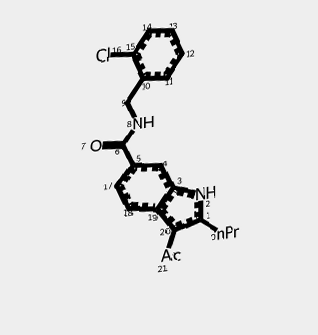 CCCc1[nH]c2cc(C(=O)NCc3ccccc3Cl)ccc2c1C(C)=O